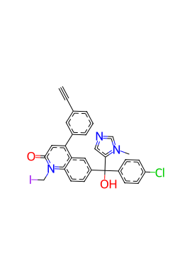 C#Cc1cccc(-c2cc(=O)n(CI)c3ccc(C(O)(c4ccc(Cl)cc4)c4cncn4C)cc23)c1